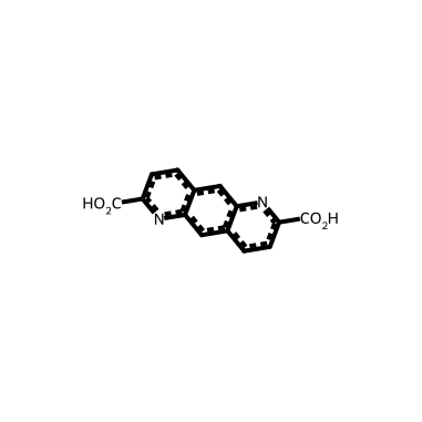 O=C(O)c1ccc2cc3nc(C(=O)O)ccc3cc2n1